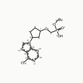 CCC(C)OP(=O)(O)COC1CCC(n2cnc3c(Cl)ncnc32)C1